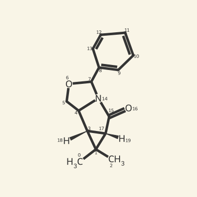 CC1(C)[C@@H]2C3COC(c4ccccc4)N3C(=O)[C@@H]21